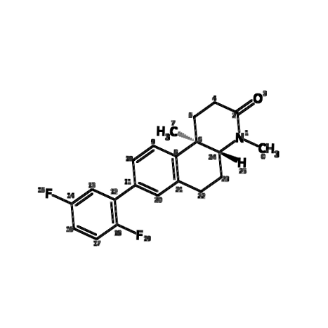 CN1C(=O)CC[C@]2(C)c3ccc(-c4cc(F)ccc4F)cc3CC[C@@H]12